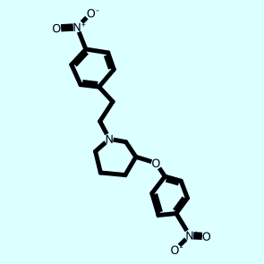 O=[N+]([O-])c1ccc(CCN2CCCC(Oc3ccc([N+](=O)[O-])cc3)C2)cc1